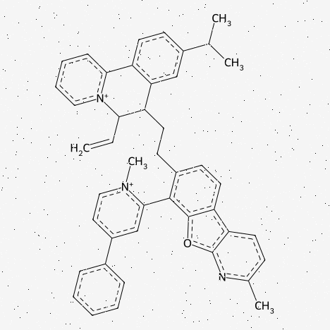 C=CC1C(CCc2ccc3c(oc4nc(C)ccc43)c2-c2cc(-c3ccccc3)cc[n+]2C)c2cc(C(C)C)ccc2-c2cccc[n+]21